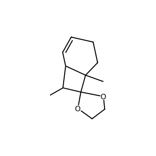 CC1C2C=CCCC2(C)C12OCCO2